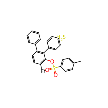 CCc1ccc(-c2ccccc2)c(-c2ccccc2)c1OS(=O)(=O)c1ccc(C)cc1.S